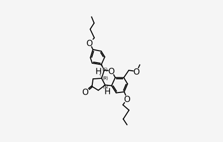 CCCCOc1ccc([C@H]2Oc3c(COC)cc(OCCCC)cc3[C@H]3CC(=O)C[C@H]32)cc1